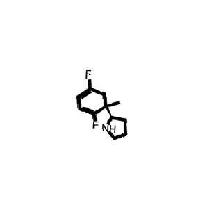 CC1([C@H]2CCCN2)CC(F)=CC=C1F